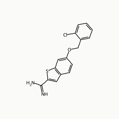 N=C(N)c1cc2ccc(OCc3ccccc3Cl)cc2s1